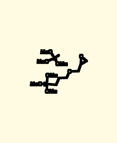 CO[Si](C)(OC)OC.CO[Si](CCCOCC1CO1)(OC)OC